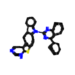 c1ccc(-c2nc(-n3c4ccccc4c4cc5c(cc43)sc3ncncc35)nc3ccccc23)cc1